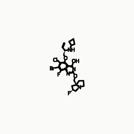 C=C[C@@H](COc1c(Cl)c(Br)c(F)c2nc(OC[C@@]34CCCN3C[C@H](F)C4)nc(O)c12)NC1CCC1